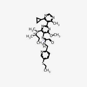 CCSc1ccc(CN/C(C=O)=N/c2c(OC)nc(-c3c(C)ncnc3C3CC3)nc2N(C)[C@H](C)CC)nc1